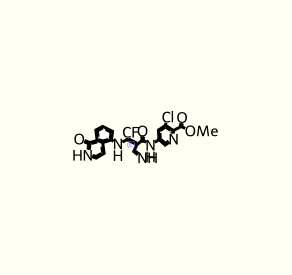 COC(=O)c1ncc(NC(=O)/C(C=N)=C(/Nc2cccc3c(=O)[nH]ccc23)C(F)(F)F)cc1Cl